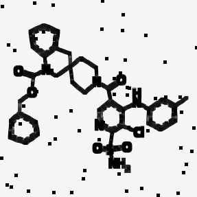 Cc1cccc(Nc2c(C(=O)N3CCC4(CC3)Cc3ccccc3N(C(=O)OCc3ccccc3)C4)cnc(S(N)(=O)=O)c2Cl)c1